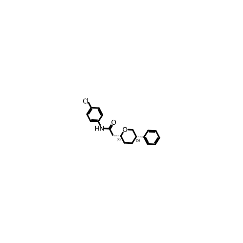 O=C(C[C@H]1CC[C@@H](c2ccccc2)CO1)Nc1ccc(Cl)cc1